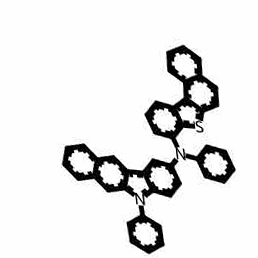 c1ccc(N(c2ccc3c(c2)c2cc4ccccc4cc2n3-c2ccccc2)c2cccc3c2sc2ccc4ccccc4c23)cc1